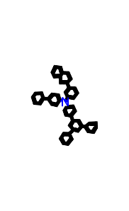 C1=CCCC(c2ccc(N(c3ccc(-c4cc(-c5ccccc5)cc(-c5ccccc5)c4)cc3)c3cccc(-c4ccc5ccccc5c4)c3)cc2)=C1